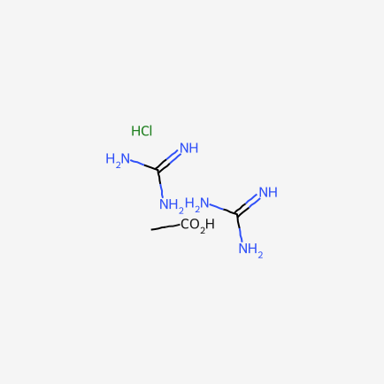 CC(=O)O.Cl.N=C(N)N.N=C(N)N